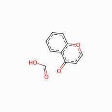 O=CO.O=c1ccoc2ccccc12